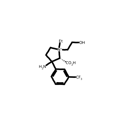 CC[N+]1(CCO)CCC(N)(c2cccc(C(F)(F)F)c2)[C@H]1C(=O)O